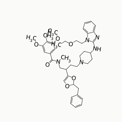 CCOCCn1c(NC2CCN(CCC(CN(C)C(=O)c3cc(OC)c(OC)c(OC)c3)C3=COC(Cc4ccccc4)O3)CC2)nc2ccccc21